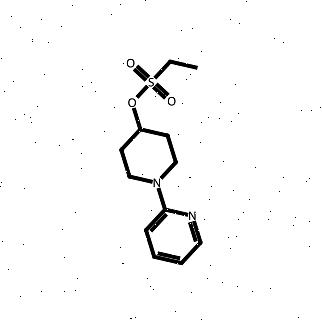 CCS(=O)(=O)OC1CCN(c2ccccn2)CC1